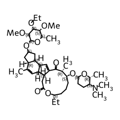 CCO[C@@H]1[C@@H](OC)[C@H](C)O[C@@H](O[C@H]2C[C@H]3[C@@H]4C=C5C(=O)[C@H](C)[C@@H](O[C@H]6CC[C@H](N(C)C)[C@@H](C)O6)CCC[C@H](CC)OC(=O)C[C@H]5[C@@H]4C=C(C)[C@@H]3C2)[C@@H]1OC